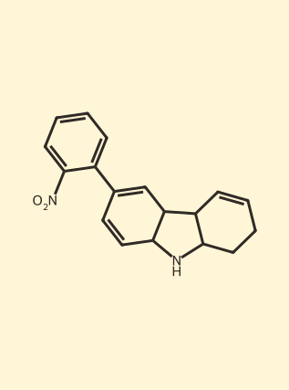 O=[N+]([O-])c1ccccc1C1=CC2C(C=C1)NC1CCC=CC12